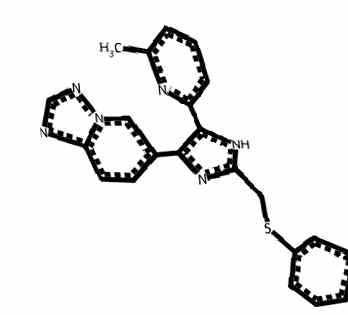 Cc1cccc(-c2[nH]c(CSc3ccccc3)nc2-c2ccc3ncnn3c2)n1